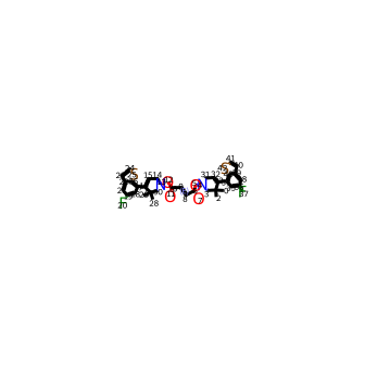 CC1(C)CN(OC(=O)/C=C/C(=O)ON2CC=C(c3cc(F)cc4ccsc34)C(C)(C)C2)CC=C1c1cc(F)cc2ccsc12